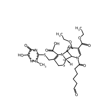 CCOC(=O)C(=CN(C(=O)CCCCC=O)C1C(=O)N2C(C(=O)O)=C(CSc3nc(=O)c(O)nn3C)CS[C@@H]12)C(=O)OCC